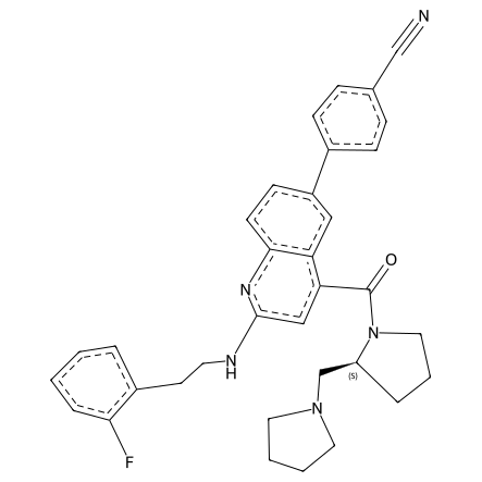 N#Cc1ccc(-c2ccc3nc(NCCc4ccccc4F)cc(C(=O)N4CCC[C@H]4CN4CCCC4)c3c2)cc1